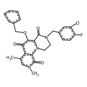 Cc1cn(C)c(=O)c2c1c(=O)c(OCc1ccccc1)c1n2CCN(Cc2ccc(F)c(Cl)c2)C1=O